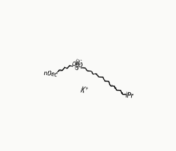 CCCCCCCCCCCCCCCCOP(=O)([O-])OCCCCCCCCCCCCCCCC(C)C.[K+]